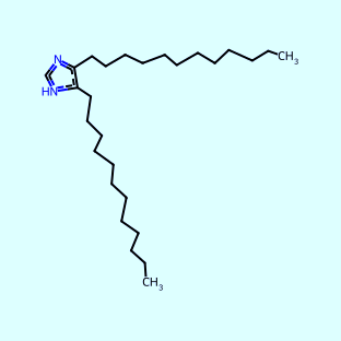 CCCCCCCCCCCCc1nc[nH]c1CCCCCCCCCCCC